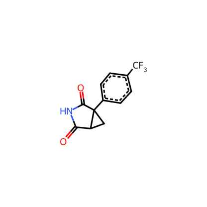 O=C1NC(=O)C2(c3ccc(C(F)(F)F)cc3)CC12